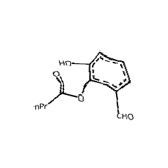 CC[CH]C(=O)Oc1c(O)cccc1C=O